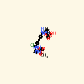 COC(=O)N[C@H](C(=O)N1[C@@H]2C[C@@H]2C[C@H]1c1nc(Cl)c(-c2ccc(C#Cc3ccc(-c4c[nH]c([C@@H]5C[C@H]6C[C@H]6N5C(=O)[C@@H](NC(=O)O)C5CCOCC5)n4)cc3)cc2)[nH]1)C1CCOCC1